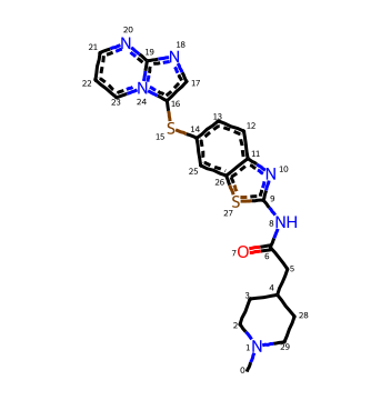 CN1CCC(CC(=O)Nc2nc3ccc(Sc4cnc5ncccn45)cc3s2)CC1